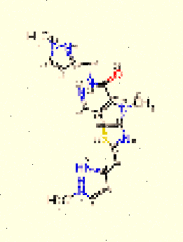 CN/C=C\C(=N)Cc1nc2c(s1)c1cnn(Cc3ccn(C)n3)c(=O)c1n2C